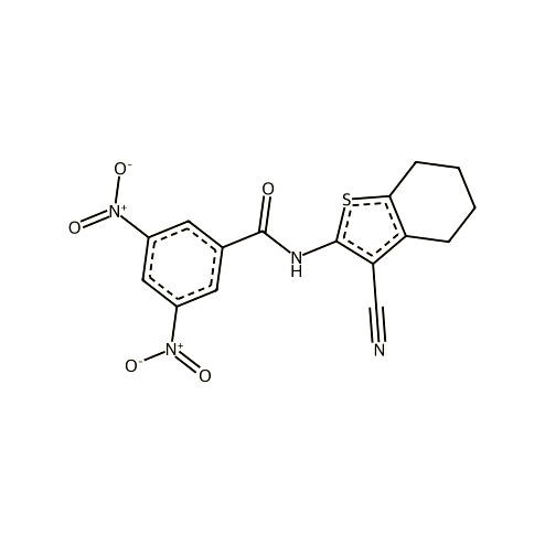 N#Cc1c(NC(=O)c2cc([N+](=O)[O-])cc([N+](=O)[O-])c2)sc2c1CCCC2